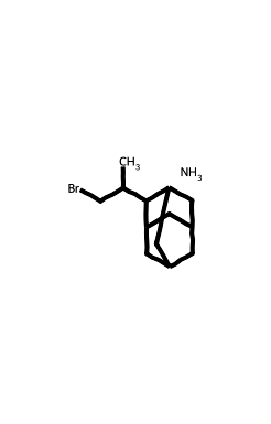 CC(CBr)C1C2CC3CC(C2)CC1C3.N